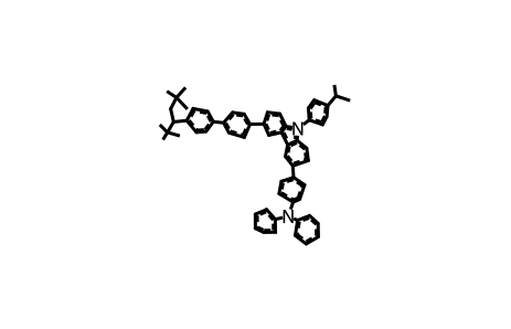 CC(C)c1ccc(-n2c3ccc(-c4ccc(-c5ccc(C(CC(C)(C)C)C(C)(C)C)cc5)cc4)cc3c3cc(-c4ccc(N(c5ccccc5)c5ccccc5)cc4)ccc32)cc1